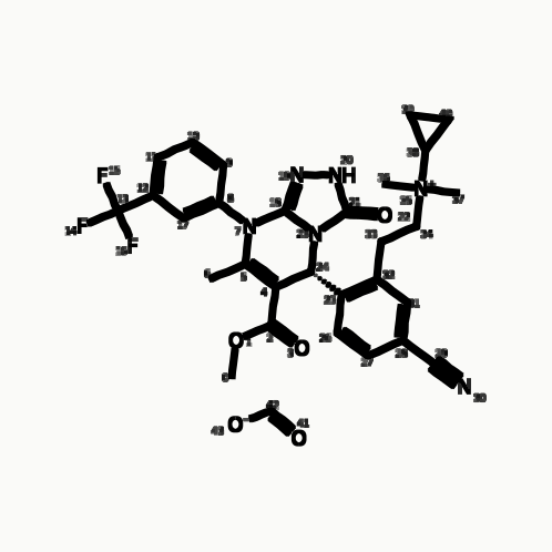 COC(=O)C1=C(C)N(c2cccc(C(F)(F)F)c2)c2n[nH]c(=O)n2[C@@H]1c1ccc(C#N)cc1CC[N+](C)(C)C1CC1.O=C[O-]